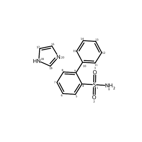 NS(=O)(=O)c1ccccc1-c1ccccc1.c1c[nH]cn1